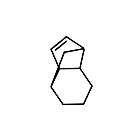 C1=CC2C3CCCC2C1C3